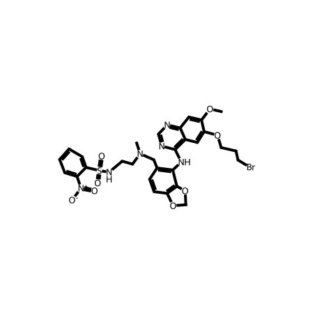 COc1cc2ncnc(Nc3c(CN(C)CCNS(=O)(=O)c4ccccc4[N+](=O)[O-])ccc4c3OCO4)c2cc1OCCCBr